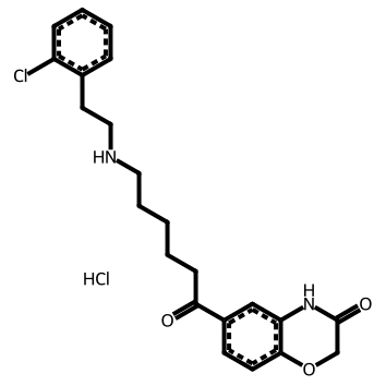 Cl.O=C1COc2ccc(C(=O)CCCCCNCCc3ccccc3Cl)cc2N1